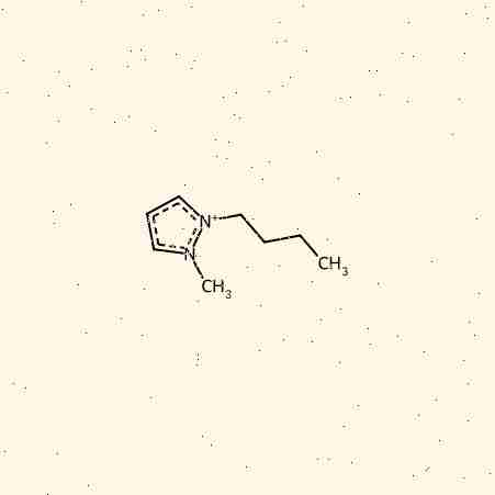 CCCC[n+]1cccn1C